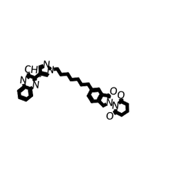 Cc1nc2ccccc2nc1-c1cnn(CCCCCCCc2ccc3c(c2)C(=O)N(N2C(=O)CCCC2=O)C3)c1